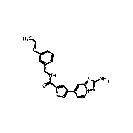 CCOc1cccc(CNC(=O)c2cc(-c3ccn4nc(N)nc4c3)cs2)c1